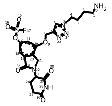 NCCCCn1cc(COc2cc(OS(=O)(=O)F)cc3c2CN(C2CCC(=O)NC2=O)C3=O)nn1